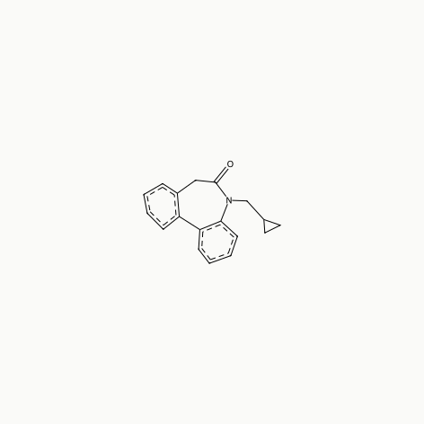 O=C1Cc2ccccc2-c2ccccc2N1CC1CC1